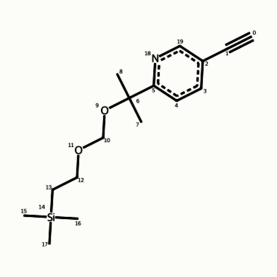 C#Cc1ccc(C(C)(C)OCOCC[Si](C)(C)C)nc1